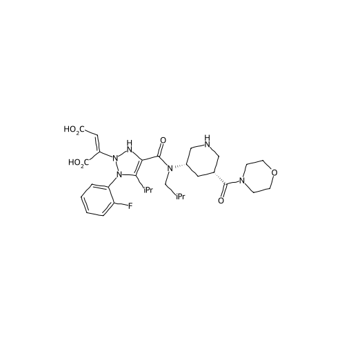 CC(C)CN(C(=O)C1=C(C(C)C)N(c2ccccc2F)N(/C(=C/C(=O)O)C(=O)O)N1)[C@@H]1CNC[C@H](C(=O)N2CCOCC2)C1